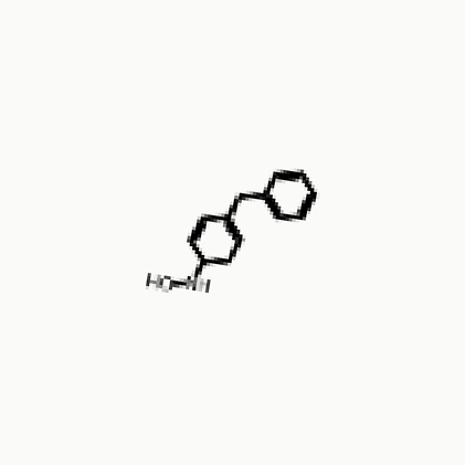 ONC1C=CC(Cc2ccccc2)=CC1